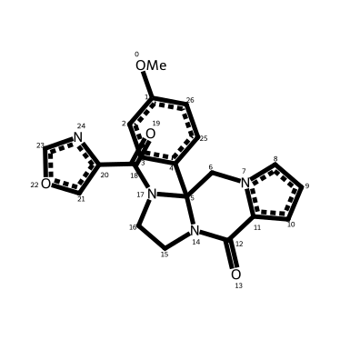 COc1ccc(C23Cn4cccc4C(=O)N2CCN3C(=O)c2cocn2)cc1